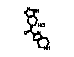 Cl.O=C(c1nc2c(s1)CNCC2)N1CCc2[nH]nnc2C1